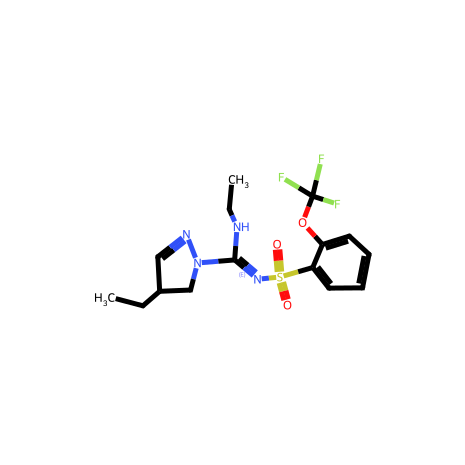 CCN/C(=N\S(=O)(=O)c1ccccc1OC(F)(F)F)N1CC(CC)C=N1